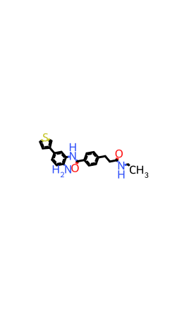 CCNC(=O)CCc1ccc(C(=O)Nc2cc(-c3ccsc3)ccc2N)cc1